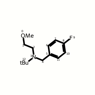 COCCN(Cc1ccc(F)cc1)C(C)(C)C